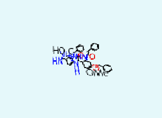 COc1cc([C@H](Nc2ccc(C(=N)N)cc2)C(=O)N[C@H](C(=O)O)c2ccccc2)c(NC(=O)Cc2ccccc2)cc1OCc1ccccc1